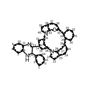 c1ccc(C2Nc3ccccc3N=C2c2cc3cc(c2)n2ccc4ccc(cc42)c2ccccc2c2ccc4ccn3c4c2)cc1